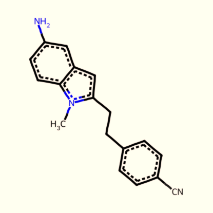 Cn1c(CCc2ccc(C#N)cc2)cc2cc(N)ccc21